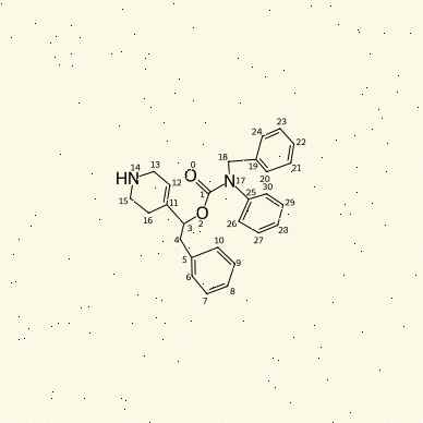 O=C(OC(Cc1ccccc1)C1=CCNCC1)N(Cc1ccccc1)c1ccccc1